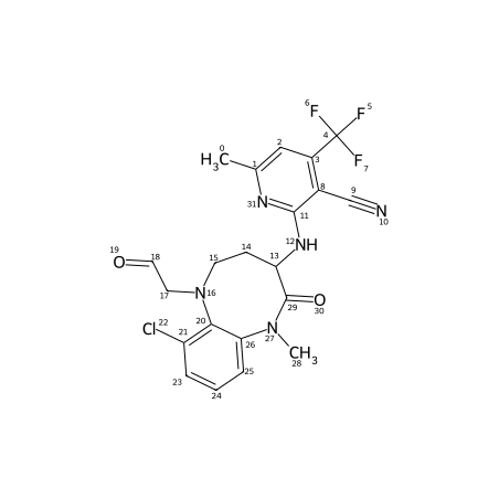 Cc1cc(C(F)(F)F)c(C#N)c(NC2CCN(CC=O)c3c(Cl)cccc3N(C)C2=O)n1